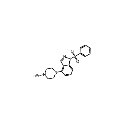 CCCN1CCN(c2cccc3c2cnn3S(=O)(=O)c2ccccc2)CC1